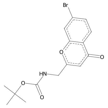 CC(C)(C)OC(=O)NCc1cc(=O)c2ccc(Br)cc2o1